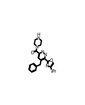 CC(C)c1coc(-c2nnc(C(=O)N3CCNCC3)cc2Cc2ccccc2)n1